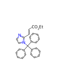 CCOC(=O)C=Cc1nccn1C(c1ccccc1)(c1ccccc1)c1ccccc1